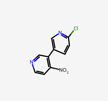 O=[N+]([O-])c1ccncc1-c1ccc(Cl)nc1